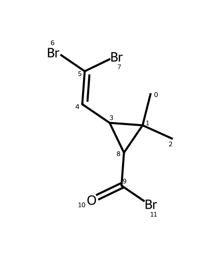 CC1(C)C(C=C(Br)Br)C1C(=O)Br